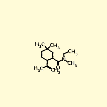 C=C(C)C1CCC(C)(C)CC1C(=O)N(C)CC